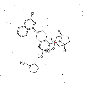 CN1CCC[C@H]1COc1nc2c(c(N3C[C@H]4CC[C@@H](C3)N4C(=O)OC(C)(C)C)n1)CCN(c1nc(Cl)cc3ccccc13)C2